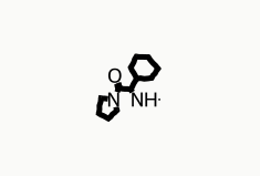 [NH]C(C(=O)N1CCCC1)C1CCCCC1